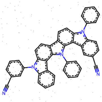 N#Cc1cccc(-n2c3ccccc3c3c2ccc2c4ccc5c(c6cc(C#N)ccc6n5-c5ccccc5)c4n(-c4ccccc4)c23)c1